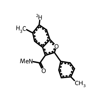 [2H]c1cc2oc(-c3ccc(C)cc3)c(C(=O)NC)c2cc1C